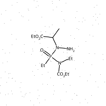 CCOC(=O)C(C)N(N)P(=O)(CC)N(CC)C(=O)OCC